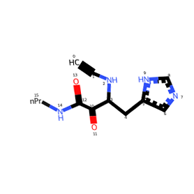 C#CNC(Cc1cnc[nH]1)C(=O)C(=O)NCCC